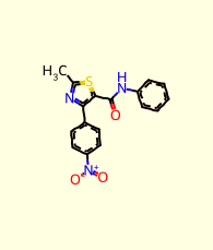 Cc1nc(-c2ccc([N+](=O)[O-])cc2)c(C(=O)Nc2ccccc2)s1